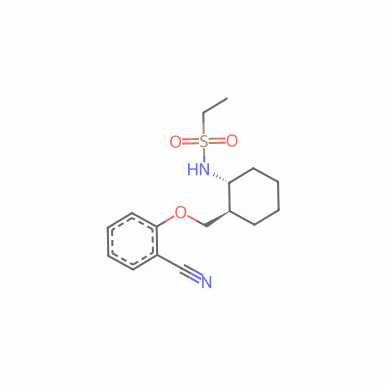 CCS(=O)(=O)N[C@@H]1CCCC[C@H]1COc1ccccc1C#N